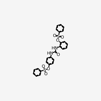 O=C(Nc1ccc(OS(=O)(=O)c2ccccc2)cc1)Nc1ccccc1OS(=O)(=O)c1ccccc1